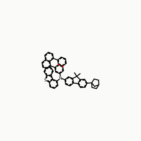 CC1(C)c2cc(N(c3cccc(-c4cccc5cccc(-c6ccccc6)c45)c3)c3cccc4sc5ccccc5c34)ccc2-c2ccc(C34CCC(CC3)C4)cc21